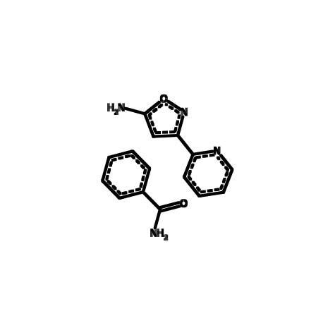 NC(=O)c1ccccc1.Nc1cc(-c2ccccn2)no1